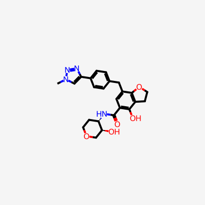 Cn1cc(-c2ccc(Cc3cc(C(=O)N[C@H]4CCOC[C@@H]4O)c(O)c4c3OCC4)cc2)nn1